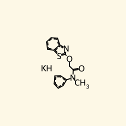 CN(C(=O)COc1nc2ccccc2s1)c1ccccc1.[KH]